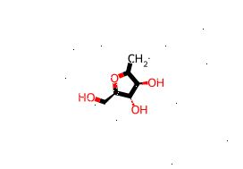 [CH2]C1O[C@H](CO)[C@@H](O)[C@@H]1O